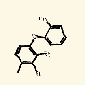 CCc1c(C)ccc(Oc2ccccc2O)c1CC